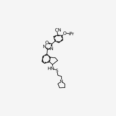 CC(C)Oc1ccc(-c2nc(-c3cccc4c3CCC4NSCCN3CCCC3)no2)cc1C#N